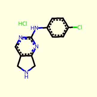 Cl.Clc1ccc(Nc2ncc3c(n2)CNC3)cc1